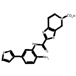 Nc1ccc(-c2ccsc2)cc1NC(=O)c1nc2c(s1)CN(C(=O)O)CC2